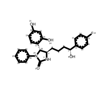 O=C1N[C@H](CCC[C@@H](O)c2ccc(F)cc2)[C@@H](c2ccc(O)cc2O)N1c1ccccc1